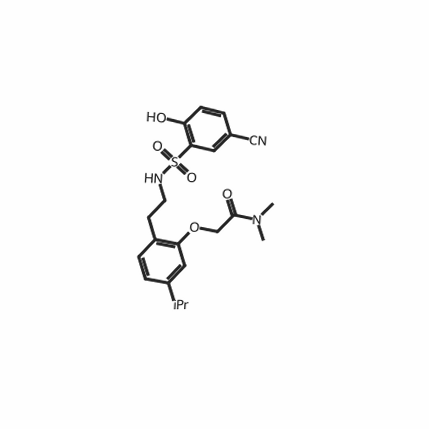 CC(C)c1ccc(CCNS(=O)(=O)c2cc(C#N)ccc2O)c(OCC(=O)N(C)C)c1